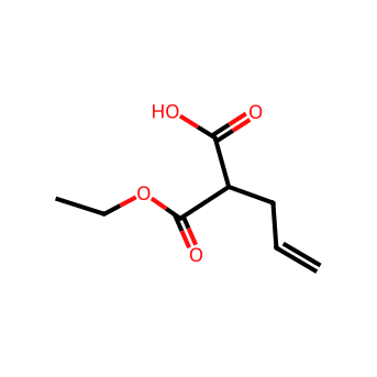 C=CCC(C(=O)O)C(=O)OCC